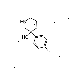 Cc1ccc(C2(O)CCCNC2)cc1